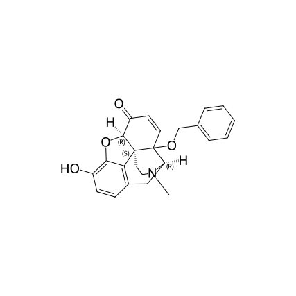 CN1CC[C@]23c4c5ccc(O)c4O[C@H]2C(=O)C=CC3(OCc2ccccc2)[C@H]1C5